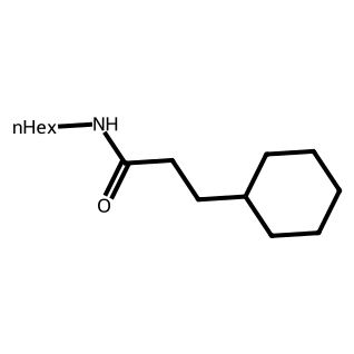 CCCCCCNC(=O)CCC1CCCCC1